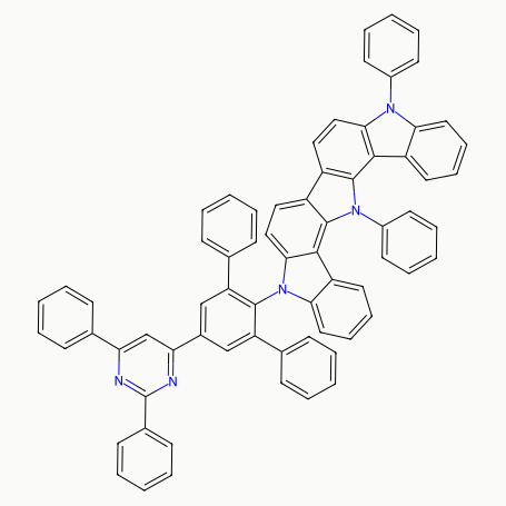 c1ccc(-c2cc(-c3cc(-c4ccccc4)c(-n4c5ccccc5c5c4ccc4c6ccc7c(c8ccccc8n7-c7ccccc7)c6n(-c6ccccc6)c45)c(-c4ccccc4)c3)nc(-c3ccccc3)n2)cc1